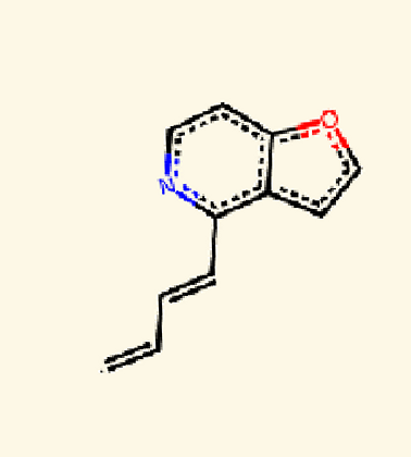 [CH]=CC=Cc1nccc2occc12